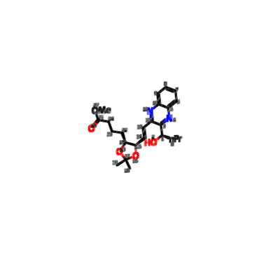 CCC[C@@H](O)c1nc2ccccc2nc1/C=C/[C@H]1OC(C)(C)O[C@H]1CCCC(=O)OC